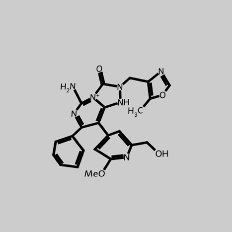 COc1cc(-c2c(-c3ccccc3)nc(N)[n+]3c(=O)n(Cc4ncoc4C)[nH]c23)cc(CO)n1